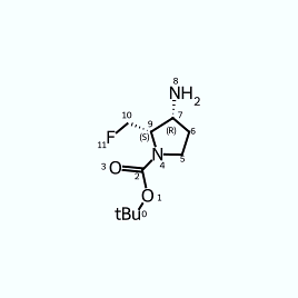 CC(C)(C)OC(=O)N1CC[C@@H](N)[C@H]1CF